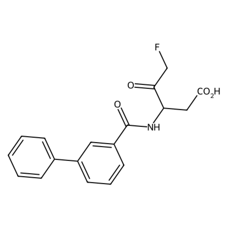 O=C(O)CC(NC(=O)c1cccc(-c2ccccc2)c1)C(=O)CF